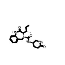 CC[C@H](C)[C@H]1C(=O)Nc2ccccc2CN1C(=O)N[C@@H]1CCC(=O)NC1